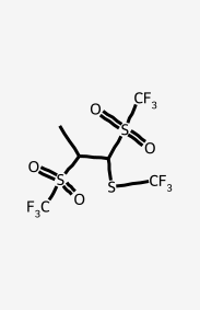 CC(C(SC(F)(F)F)S(=O)(=O)C(F)(F)F)S(=O)(=O)C(F)(F)F